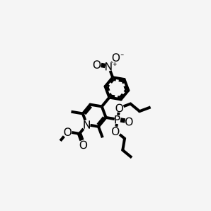 CCCOP(=O)(OCCC)C1=C(C)N(C(=O)OC)C(C)=CC1c1cccc([N+](=O)[O-])c1